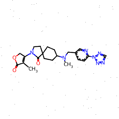 CC1=C(N2CCC3(CCC(N(C)Cc4ccc(-n5ncnn5)nc4)CC3)C2=O)COC1=O